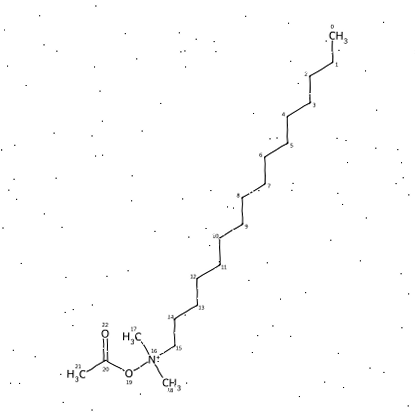 CCCCCCCCCCCCCCCC[N+](C)(C)OC(C)=O